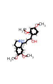 COc1ccc(C(O)CCC2NCCc3cc(OC)c(OC)cc32)c(OC)c1